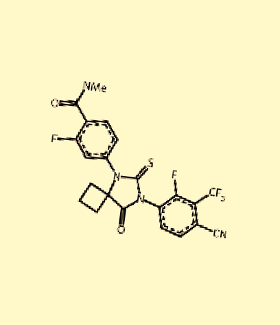 CNC(=O)c1ccc(N2C(=S)N(c3ccc(C#N)c(C(F)(F)F)c3F)C(=O)C23CCC3)cc1F